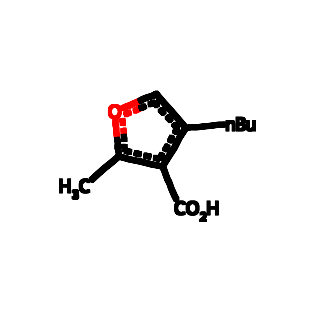 CCCCc1coc(C)c1C(=O)O